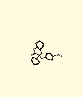 COc1ccc(CC2(c3ccccc3)Cc3ccccc3OC2=O)cc1